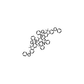 Cc1c2c(c(N(c3ccccc3)c3ccccc3)c3c1B1c4ccccc4Oc4c1c(cc1c4C(C)(C)c4cc(Oc5ccccc5)ccc4-1)S3)Sc1cc3c(c4c1B2c1ccccc1O4)C(C)(C)c1cc(Oc2ccccc2)ccc1-3